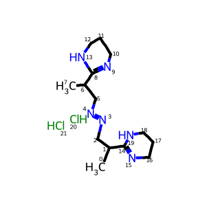 CC(CN=NCC(C)C1=NCCCN1)C1=NCCCN1.Cl.Cl